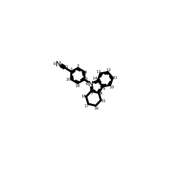 N#Cc1ccc(-n2c3c(c4ccccc42)CCCC3)cc1